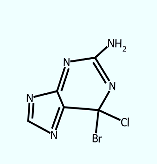 NC1=NC(Cl)(Br)C2=NC=NC2=N1